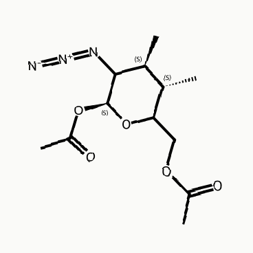 CC(=O)OCC1O[C@@H](OC(C)=O)C(N=[N+]=[N-])[C@@H](C)[C@@H]1C